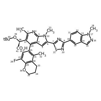 Cc1nc2c(cc(-c3nc(-c4ccc5c(cnn5C)c4)ns3)n2C)c(-c2cc(F)c3c(c2C)CCCO3)c1[C@H](OC(C)(C)C)C(=O)O